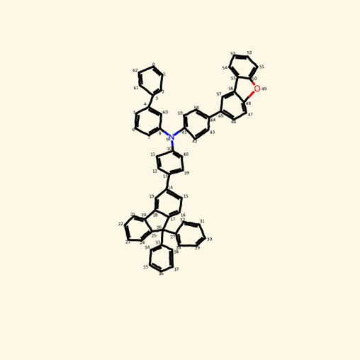 c1ccc(-c2cccc(N(c3ccc(-c4ccc5c(c4)-c4ccccc4C5(c4ccccc4)c4ccccc4)cc3)c3ccc(-c4ccc5oc6ccccc6c5c4)cc3)c2)cc1